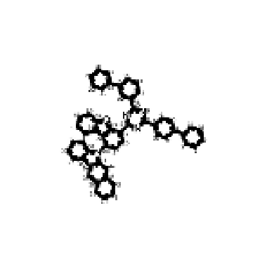 c1ccc(-c2ccc(-c3nc(-c4cccc(-c5ccccc5)c4)nc(-c4ccc(-n5c6ccccc6c6cc7ccccc7cc65)c5c4oc4ccccc45)n3)cc2)cc1